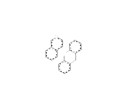 c1ccc2c(c1)Cc1ccccc1O2.c1ccc2cnccc2c1